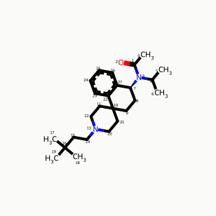 CC(=O)N(C(C)C)[C@H]1CCC2(CCN(CCC(C)(C)C)CC2)c2ccccc21